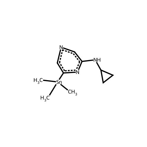 [CH3][Sn]([CH3])([CH3])[c]1cncc(NC2CC2)n1